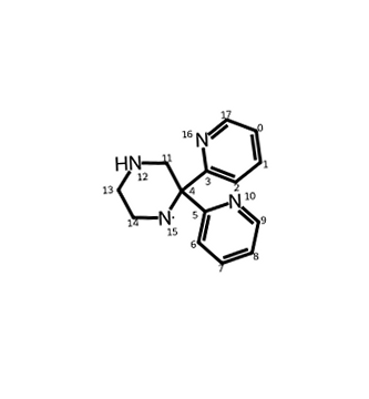 c1ccc(C2(c3ccccn3)CNCC[N]2)nc1